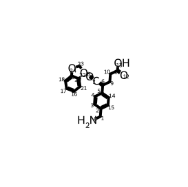 NCc1ccc(C(=C=O)CCC(=O)O)cc1.c1ccc2c(c1)OCO2